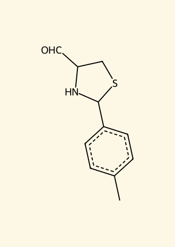 Cc1ccc(C2NC(C=O)CS2)cc1